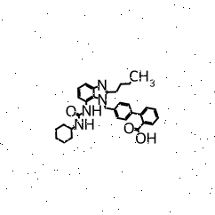 CCCCc1nc2cccc(NC(=O)NC3CCCCC3)c2n1Cc1ccc(-c2ccccc2C(=O)O)cc1